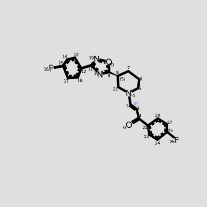 O=C(/C=C/N1CCC[C@H](c2nc(-c3ccc(F)cc3)no2)C1)c1ccc(F)cc1